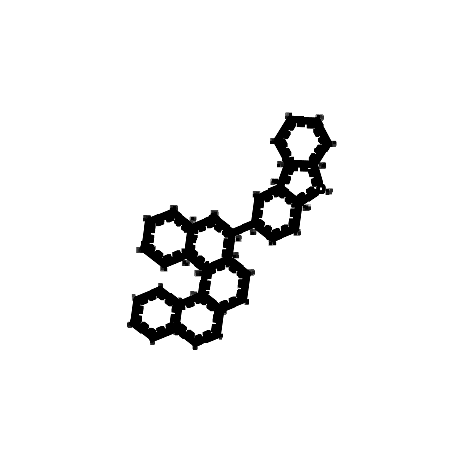 c1ccc2c(c1)ccc1ccc3c(-c4ccc5oc6ccccc6c5c4)cc4ccccc4c3c12